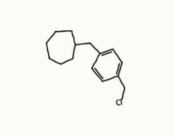 ClCc1ccc(CC2CCCCCC2)cc1